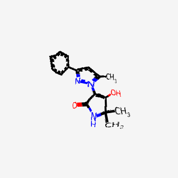 Cc1cc(-c2ccccc2)nn1C1=C(O)C(C)(C)NC1=O